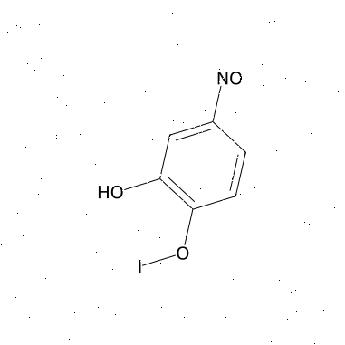 O=Nc1ccc(OI)c(O)c1